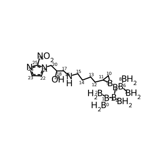 BB(B)B(B)B(B(B)B)B1CC1CCCCNCC(O)Cn1ccnc1[N+](=O)[O-]